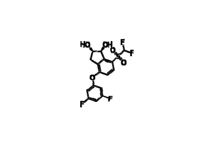 O=S(=O)(c1ccc(Oc2cc(F)cc(F)c2)c2c1[C@H](O)[C@H](O)C2)C(F)F